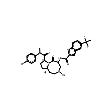 CC(=O)N1CC[C@H]2CC[C@@H](C(=O)N(C)c3ccc(Br)cc3)N2C(=O)[C@@H](NC(=O)c2cc3cc(C(C)(F)F)ccc3s2)C1